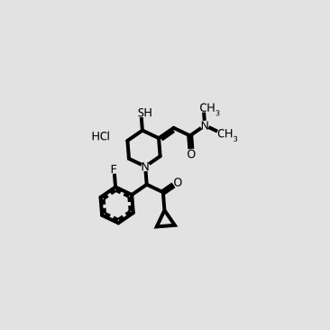 CN(C)C(=O)C=C1CN(C(C(=O)C2CC2)c2ccccc2F)CCC1S.Cl